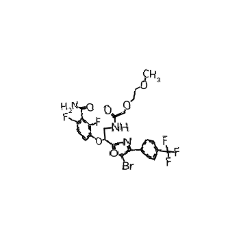 COCCOCC(=O)NCC(Oc1ccc(F)c(C(N)=O)c1F)c1nc(-c2ccc(C(F)(F)F)cc2)c(Br)o1